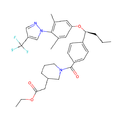 CCC[C@H](Oc1cc(C)c(-n2cc(C(F)(F)F)cn2)c(C)c1)c1ccc(C(=O)N2CCCC(CC(=O)OCC)C2)cc1